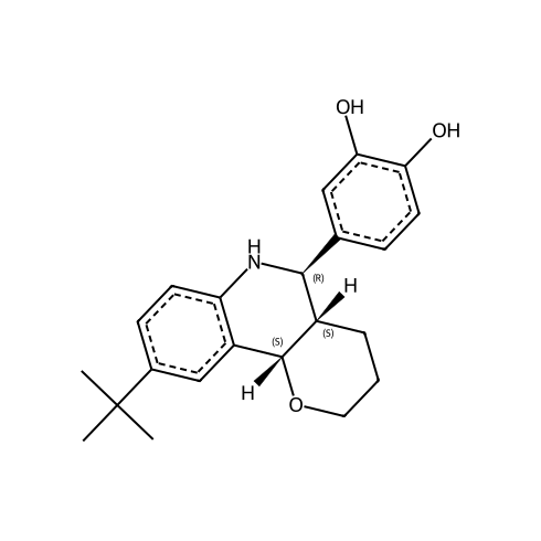 CC(C)(C)c1ccc2c(c1)[C@H]1OCCC[C@H]1[C@H](c1ccc(O)c(O)c1)N2